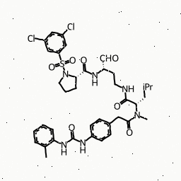 Cc1ccccc1NC(=O)Nc1ccc(CC(=O)N(C)[C@@H](CC(C)C)C(=O)NCC[C@@H](C=O)NC(=O)[C@@H]2CCCN2S(=O)(=O)c2cc(Cl)cc(Cl)c2)cc1